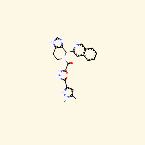 Cc1cc(-c2nnc(C(=O)N3CCc4[nH]cnc4[C@H]3c3cc4ccccc4cn3)o2)nn1C